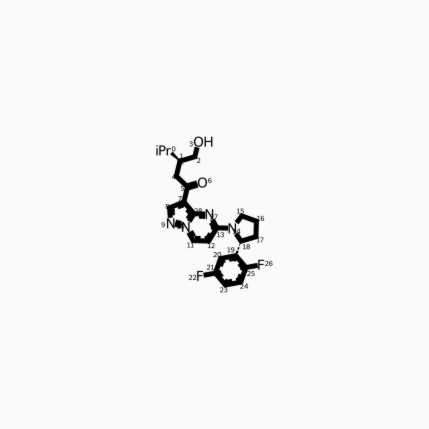 CC(C)[C@@H](CO)CC(=O)c1cnn2ccc(N3CCC[C@@H]3c3cc(F)ccc3F)nc12